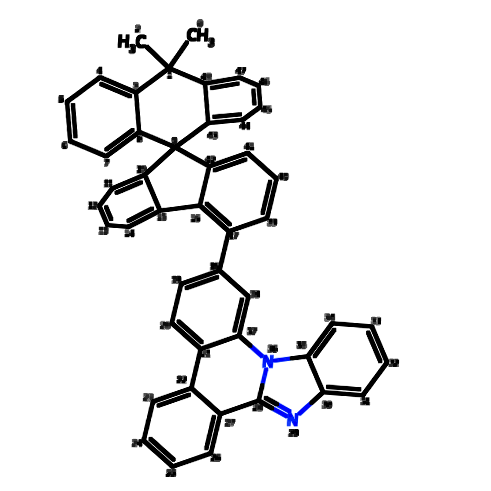 CC1(C)c2ccccc2C2(c3ccccc3-c3c(-c4ccc5c6ccccc6c6nc7ccccc7n6c5c4)cccc32)c2ccccc21